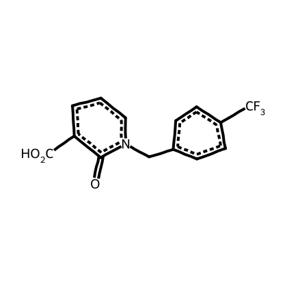 O=C(O)c1cccn(Cc2ccc(C(F)(F)F)cc2)c1=O